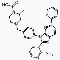 CC1CN(Cc2ccc(-n3c(-c4cccnc4N)nc4ccc(-c5ccccc5)nc43)cc2)CCN1C(=O)O